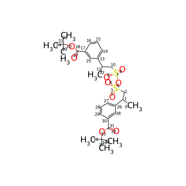 CC(CS(=O)(=O)OS(=O)(=O)CC(C)c1cccc(C(=O)OC(C)(C)C)c1)c1cccc(C(=O)OC(C)(C)C)c1